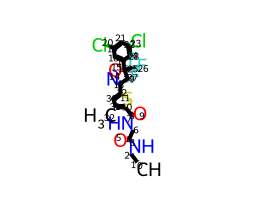 C#CCNC(=O)CNC(=O)c1sc(C2=NOC(c3cc(Cl)cc(Cl)c3)(C(F)(F)F)C2)cc1C